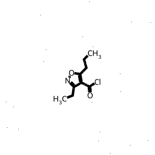 CCCc1onc(CC)c1C(=O)Cl